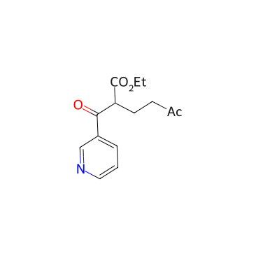 CCOC(=O)C(CCC(C)=O)C(=O)c1cccnc1